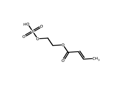 CC=CC(=O)OCCOS(=O)(=O)O